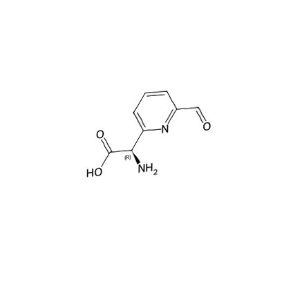 N[C@@H](C(=O)O)c1cccc(C=O)n1